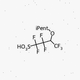 CCCC(C)OC(C(F)(F)F)C(F)(F)C(F)(F)S(=O)(=O)O